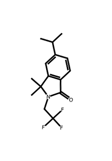 CC(C)c1ccc2c(c1)C(C)(C)N(CC(F)(F)F)C2=O